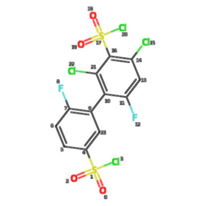 O=S(=O)(Cl)c1ccc(F)c(-c2c(F)cc(Cl)c(S(=O)(=O)Cl)c2Cl)c1